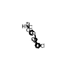 CCNC(=O)OC1CCN(Cc2cc(-c3cccc(Cl)c3)no2)CC1